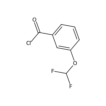 O=C(Cl)c1cccc(OC(F)F)c1